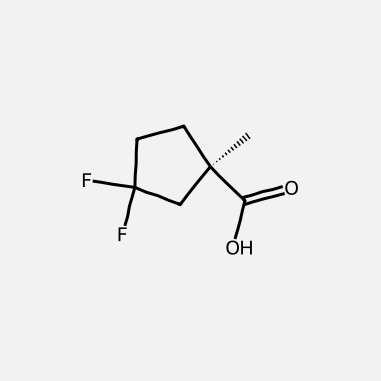 C[C@@]1(C(=O)O)CCC(F)(F)C1